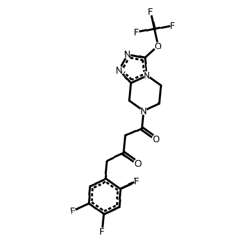 O=C(CC(=O)N1CCn2c(nnc2OC(F)(F)F)C1)Cc1cc(F)c(F)cc1F